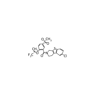 C[C@H](Oc1ccc(S(C)(=O)=O)cc1C(=O)N1CCc2c(sc3ccc(Cl)cc23)C1)C(F)(F)F